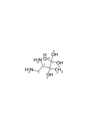 CC(O)(C(N)CN)C(O)(O)O